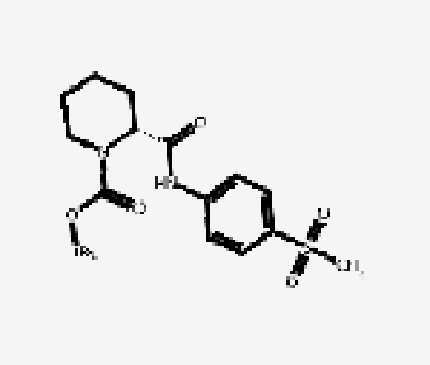 CC(C)(C)OC(=O)N1CCCC[C@@H]1C(=O)Nc1ccc(S(C)(=O)=O)cc1